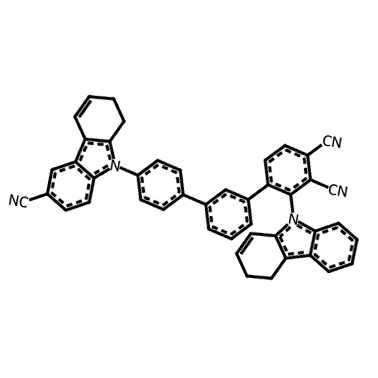 N#Cc1ccc2c(c1)c1c(n2-c2ccc(-c3cccc(-c4ccc(C#N)c(C#N)c4-n4c5c(c6ccccc64)CCC=C5)c3)cc2)CCC=C1